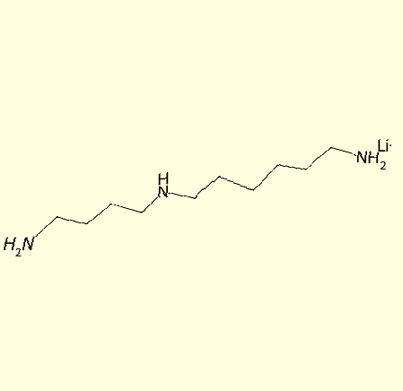 NCCCCCCNCCCCN.[Li]